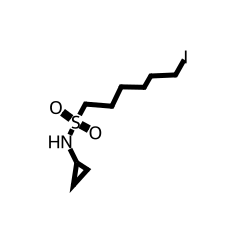 O=S(=O)(CCCCCCI)NC1CC1